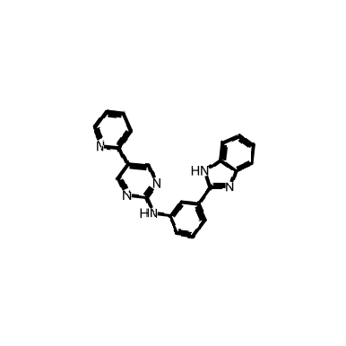 c1ccc(-c2cnc(Nc3cccc(-c4nc5ccccc5[nH]4)c3)nc2)nc1